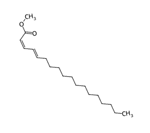 CCCCCCCCCCCCCC=C/C=C\C(=O)OC